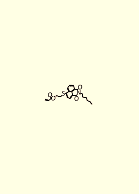 C=CC(=O)OCCSc1ccc2c3c(cccc13)C(=O)N(CCCCCC)C2=O